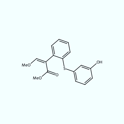 COC=C(C(=O)OC)c1ccccc1Sc1cccc(O)c1